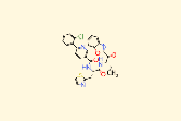 CC[C@H](NC(=O)[C@H](Cc1nccs1)NC(=O)c1ccc(-c2ccccc2Cl)nc1)C(=O)c1nc2ccccc2o1